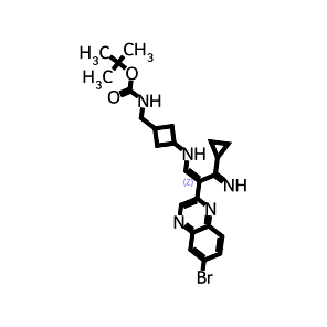 CC(C)(C)OC(=O)NCC1CC(N/C=C(\C(=N)C2CC2)c2cnc3cc(Br)ccc3n2)C1